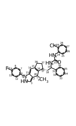 C[C@H]1C2=CNN(c3ccc(F)cc3)C2=CC2=C1[C@@H](CC(NC(=O)Nc1ccccc1Cl)c1ccccc1)CC2